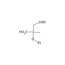 CCOC(C)(CC=O)C(=O)O